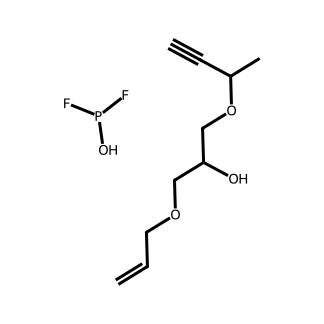 C#CC(C)OCC(O)COCC=C.OP(F)F